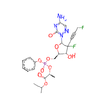 CC(C)OC(=O)[C@H](C)OP(=O)(OC[C@H]1OC(n2ncc(N)nc2=O)C(F)(C#CCF)C1O)Oc1ccccc1